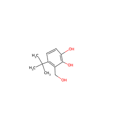 CC(C)(C)c1ccc(O)c(O)c1CO